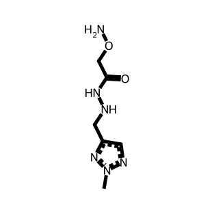 Cn1ncc(CNNC(=O)CON)n1